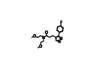 COCCN(CCOC)C(=O)CCc1cnoc1-c1ccc(F)cc1